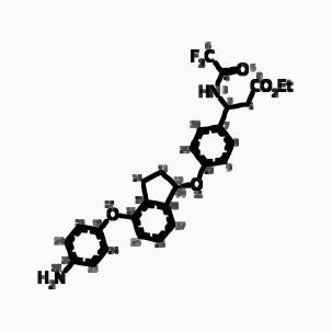 CCOC(=O)CC(NC(=O)C(F)(F)F)c1ccc(O[C@@H]2CCc3c(Oc4ccc(N)cc4)cccc32)cc1